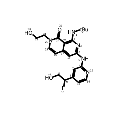 CC(C)(C)Nc1nc(Nc2cc(C(F)CO)ccn2)cc2ccn(CCO)c(=O)c12